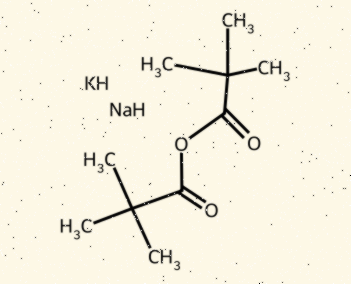 CC(C)(C)C(=O)OC(=O)C(C)(C)C.[KH].[NaH]